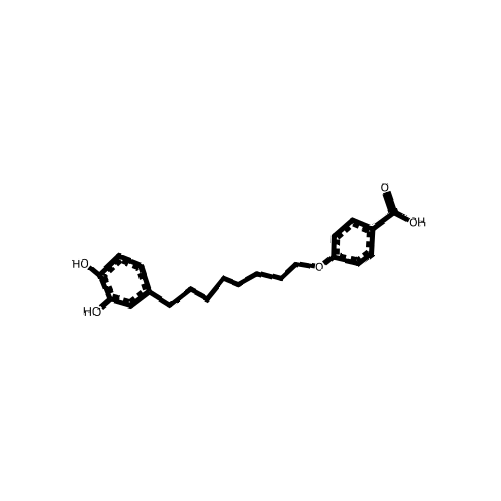 O=C(O)c1ccc(OCCCCCCCCc2ccc(O)c(O)c2)cc1